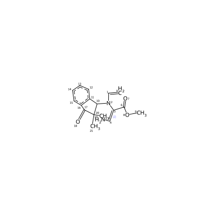 C=CN(/C(=C\N)C(=O)OC)C1c2ccccc2C(=O)C1(C)C